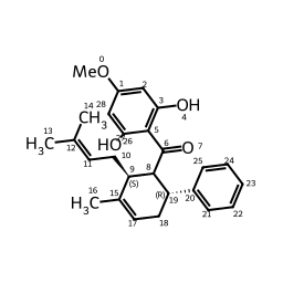 COc1cc(O)c(C(=O)C2[C@H](CC=C(C)C)C(C)=CC[C@H]2c2ccccc2)c(O)c1